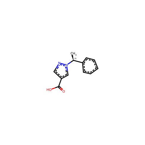 C[C@@H](c1ccccc1)n1cc(C(=O)O)cn1